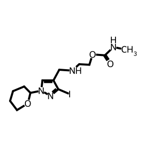 CNC(=O)OCCNCc1cn(C2CCCCO2)nc1I